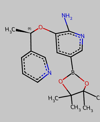 C[C@@H](Oc1cc(B2OC(C)(C)C(C)(C)O2)cnc1N)c1cccnc1